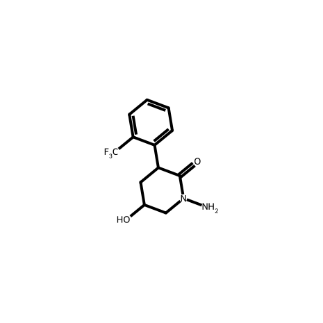 NN1CC(O)CC(c2ccccc2C(F)(F)F)C1=O